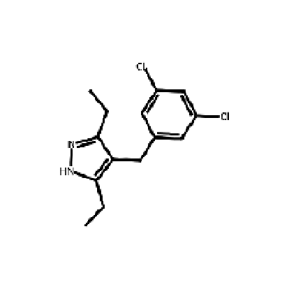 CCc1n[nH]c(CC)c1Cc1cc(Cl)cc(Cl)c1